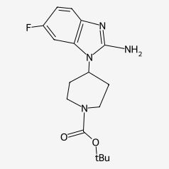 CC(C)(C)OC(=O)N1CCC(n2c(N)nc3ccc(F)cc32)CC1